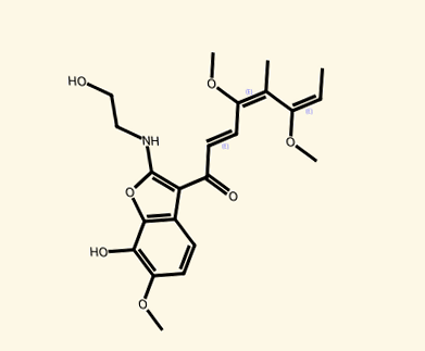 C\C=C(OC)/C(C)=C(\C=C\C(=O)c1c(NCCO)oc2c(O)c(OC)ccc12)OC